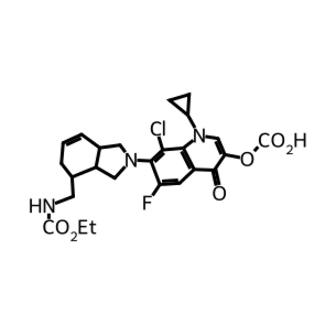 CCOC(=O)NCC1CC=CC2CN(c3c(F)cc4c(=O)c(OC(=O)O)cn(C5CC5)c4c3Cl)CC21